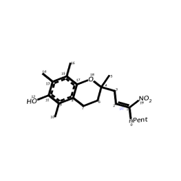 CCCCC/C(=C/CC1(C)CCc2c(C)c(O)c(C)c(C)c2O1)[N+](=O)[O-]